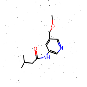 COCc1cncc(NC(=O)CC(C)C)c1